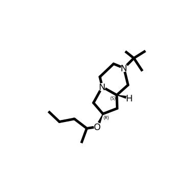 CCCC(C)O[C@@H]1C[C@H]2CN(C(C)(C)C)CCN2C1